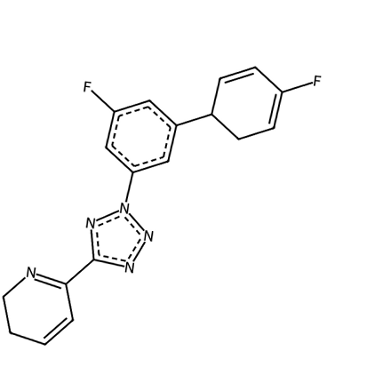 FC1=CCC(c2cc(F)cc(-n3nnc(C4=NCCC=C4)n3)c2)C=C1